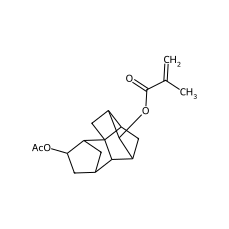 C=C(C)C(=O)OC1C2CC34C5CC(CC5OC(C)=O)C3C1CC24